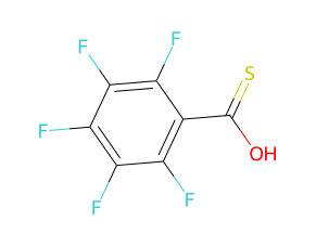 OC(=S)c1c(F)c(F)c(F)c(F)c1F